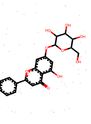 O=c1cc(-c2ccccc2)oc2cc(OC3OC(CO)C(O)C(O)C3O)cc(O)c12